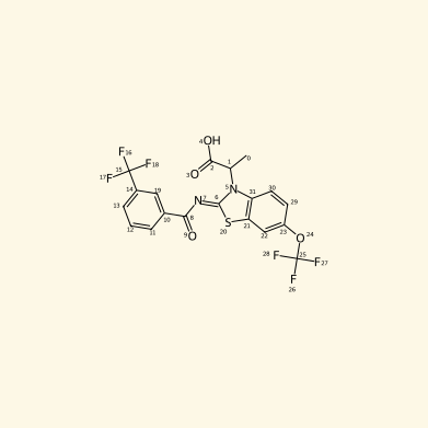 CC(C(=O)O)n1c(=NC(=O)c2cccc(C(F)(F)F)c2)sc2cc(OC(F)(F)F)ccc21